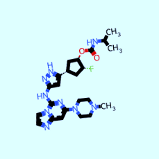 CC(C)NC(=O)O[C@H]1C[C@@H](c2cc(Nc3nc(N4CCN(C)CC4)cc4nccn34)n[nH]2)C[C@H]1F